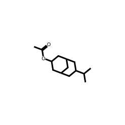 CC(=O)OC1CC2CC(C1)CC(C(C)C)C2